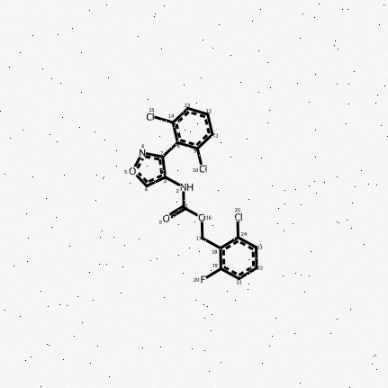 O=C(Nc1conc1-c1c(Cl)cccc1Cl)OCc1c(F)cccc1Cl